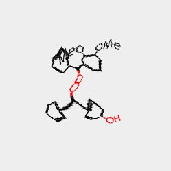 COc1cccc(C(=O)c2ccccc2)c1OC.O=C(c1ccccc1)c1ccc(O)cc1